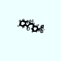 O=C1C(=Cc2cccc([N+](=O)[O-])c2)Nc2ccccc21